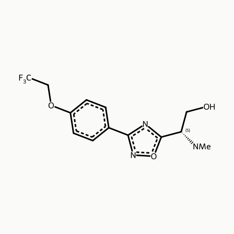 CN[C@@H](CO)c1nc(-c2ccc(OCC(F)(F)F)cc2)no1